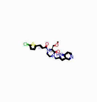 COC[C@H]1C(=O)N(Cc2cc3cnccc3[nH]2)CCN1C(=O)/C=C/c1ccc(Cl)s1